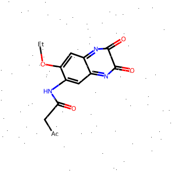 CCOc1cc2c(cc1NC(=O)CC(C)=O)=NC(=O)C(=O)N=2